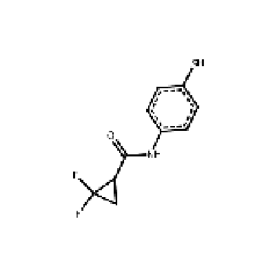 O=C(Nc1ccc(S)cc1)C1CC1(F)F